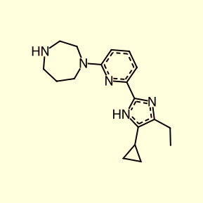 CCc1nc(-c2cccc(N3CCCNCC3)n2)[nH]c1C1CC1